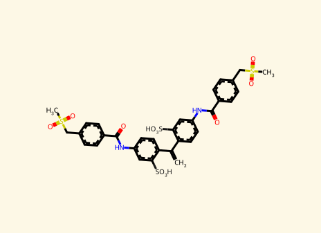 C=C(c1ccc(NC(=O)c2ccc(CS(C)(=O)=O)cc2)cc1S(=O)(=O)O)c1ccc(NC(=O)c2ccc(CS(C)(=O)=O)cc2)cc1S(=O)(=O)O